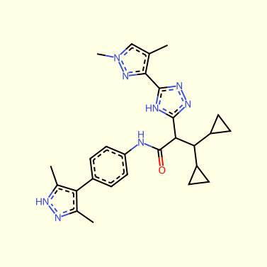 Cc1cn(C)nc1-c1nnc(C(C(=O)Nc2ccc(-c3c(C)n[nH]c3C)cc2)C(C2CC2)C2CC2)[nH]1